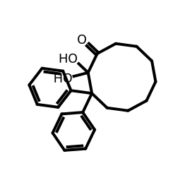 O=C1CCCCCCCC(c2ccccc2)(c2ccccc2)C1(O)O